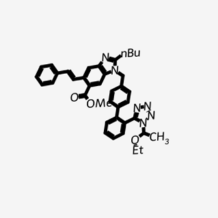 CCCCc1nc2cc(C=Cc3ccccc3)c(C(=O)OC)cc2n1Cc1ccc(-c2ccccc2-c2nnnn2C(C)OCC)cc1